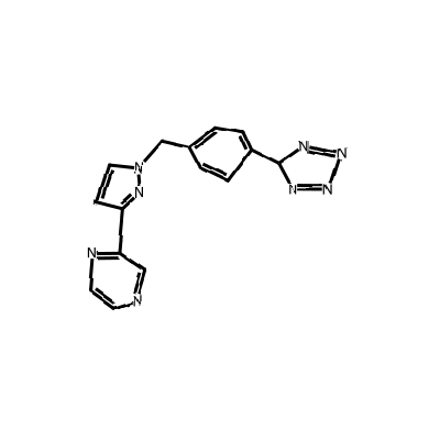 c1cnc(-c2ccn(Cc3ccc(C4N=NN=N4)cc3)n2)cn1